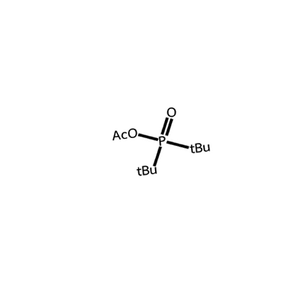 CC(=O)OP(=O)(C(C)(C)C)C(C)(C)C